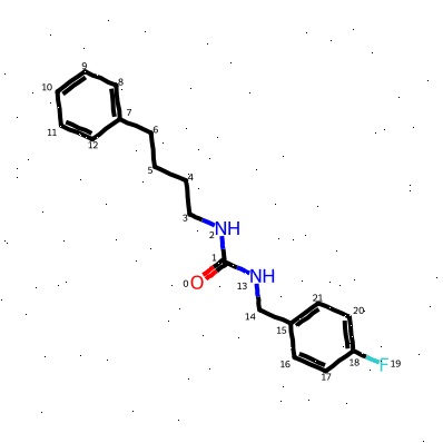 O=C(NCCCCc1ccccc1)NCc1ccc(F)cc1